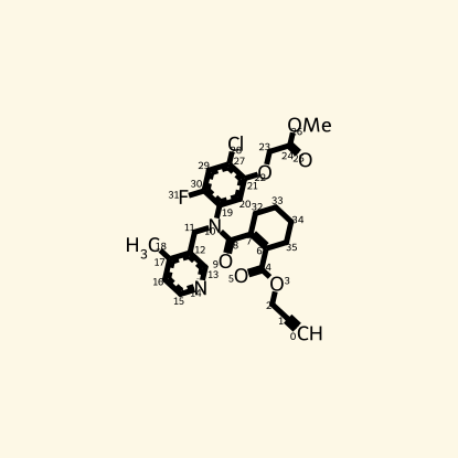 C#CCOC(=O)C1=C(C(=O)N(Cc2cnccc2C)c2cc(OCC(=O)OC)c(Cl)cc2F)CCCC1